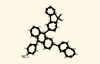 CC1(C)c2ccccc2-c2cc(-c3c4ccccc4c(-c4ccc(C#N)cc4)c4ccc(-c5ccc6ccccc6c5)cc34)ccc21